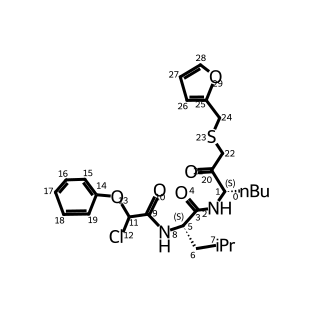 CCCC[C@H](NC(=O)[C@H](CC(C)C)NC(=O)C(Cl)Oc1ccccc1)C(=O)CSCc1ccco1